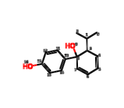 CC(C)C1C=CC=CC1(O)c1ccc(O)cc1